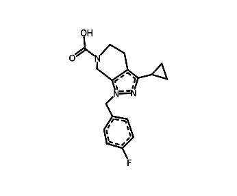 O=C(O)N1CCc2c(C3CC3)nn(Cc3ccc(F)cc3)c2C1